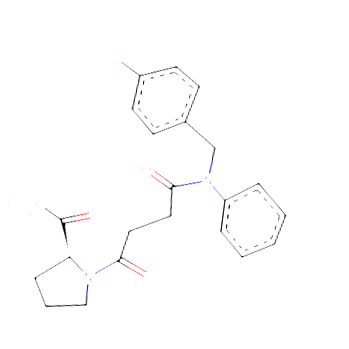 O=C(O)C(=O)[C@@H]1CCCN1C(=O)CCC(=O)N(Cc1ccc(Cl)cc1)c1ccccc1